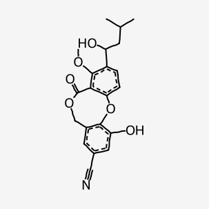 COc1c(C(O)CC(C)C)ccc2c1C(=O)OCc1cc(C#N)cc(O)c1O2